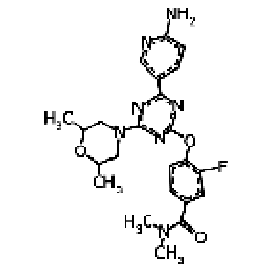 CC1CN(c2nc(Oc3ccc(C(=O)N(C)C)cc3F)nc(-c3ccc(N)nc3)n2)CC(C)O1